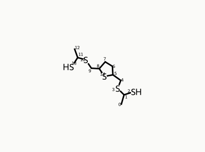 CC(S)SCC1CCC(CSC(C)S)S1